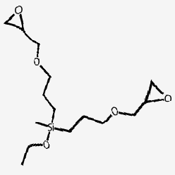 CCO[Si](C)(CCCOCC1CO1)CCCOCC1CO1